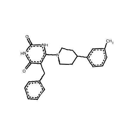 Cc1cccc(C2CCN(c3[nH]c(=O)[nH]c(=O)c3Cc3ccccc3)CC2)c1